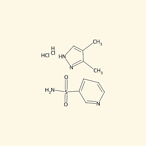 Cc1c[nH]nc1C.Cl.Cl.NS(=O)(=O)c1cccnc1